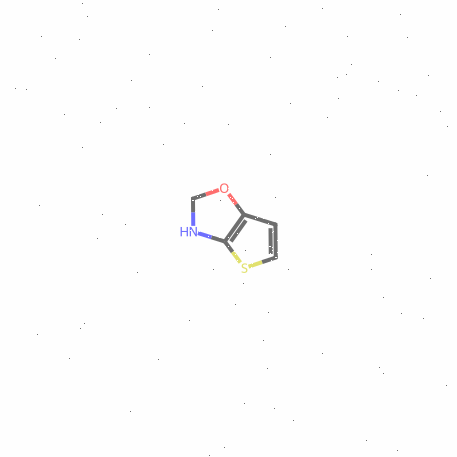 c1cc2c(s1)NCO2